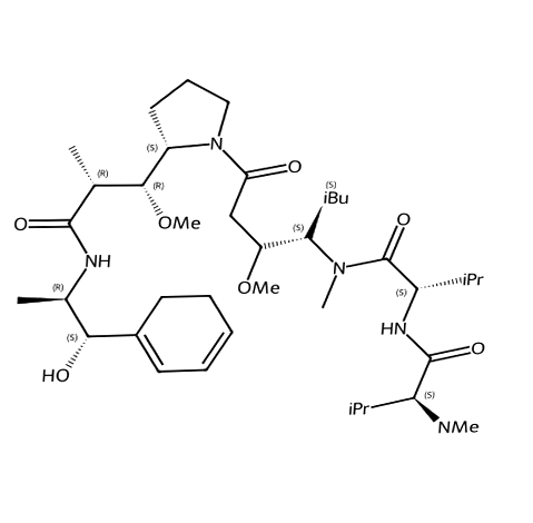 CC[C@H](C)[C@@H](C(CC(=O)N1CCC[C@H]1[C@H](OC)[C@@H](C)C(=O)N[C@H](C)[C@@H](O)C1=CC=CCC1)OC)N(C)C(=O)[C@@H](NC(=O)[C@@H](NC)C(C)C)C(C)C